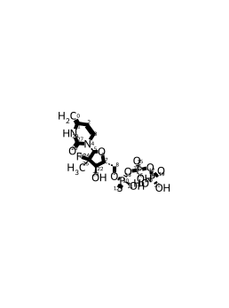 C=C1C=CN([C@@H]2O[C@H](CO[P@@](O)(=S)OP(=O)(O)OP(=O)(O)O)[C@@H](O)[C@@]2(C)F)C(=O)N1